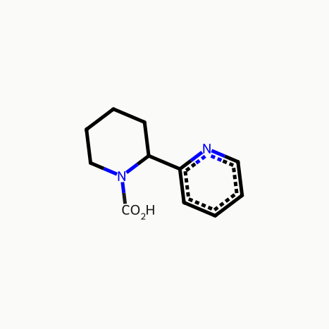 O=C(O)N1CCCCC1c1ccccn1